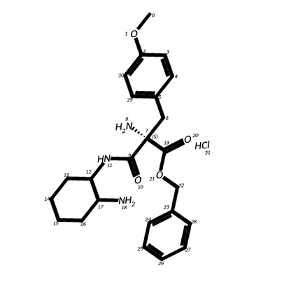 COc1ccc(C[C@](N)(C(=O)NC2CCCCC2N)C(=O)OCc2ccccc2)cc1.Cl